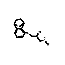 CC(C)NCC(O)COc1cccc2c1C1CCC2CC1